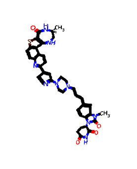 C[C@@H]1CNc2c(sc3ccc4nc(-c5ccnc(N6CCN(CCCc7ccc8c(c7)n(C)c(=O)n8C7CCC(=O)NC7=O)CC6)c5)ccc4c23)C(=O)N1